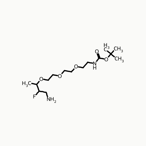 CC(OCCOCCOCCNC(=O)OC(C)(C)C)C(F)CN